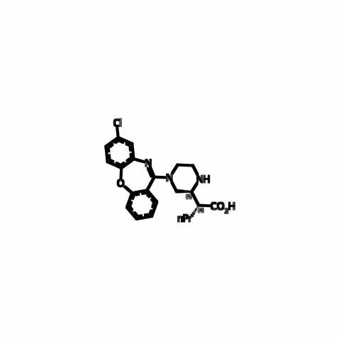 CCC[C@@H](C(=O)O)[C@H]1CN(C2=Nc3cc(Cl)ccc3Oc3ccccc32)CCN1